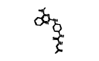 C=C(C)CNC(=S)NC1CCC(Nc2nc3c(c(N(C)C)n2)CCCC3)CC1